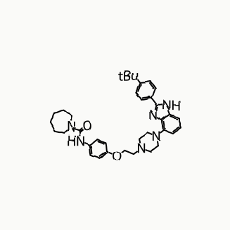 CC(C)(C)c1ccc(-c2nc3c(N4CCN(CCOc5ccc(NC(=O)N6CCCCCC6)cc5)CC4)cccc3[nH]2)cc1